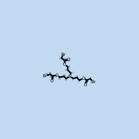 O=C(CBr)OCCCN(CCCOC(=O)CBr)CCCOC(=O)CBr